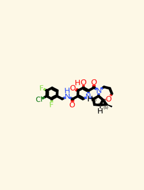 C[C@H]1[C@H]2C[C@H]3C4N(CCCO[C@@]421)C(=O)c1c(O)c(=O)c(C(=O)NCc2ccc(F)c(Cl)c2F)cn13